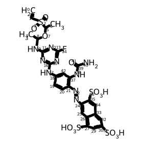 C=CS(=O)(=O)C(C)OC(C)Nc1nc(F)nc(Nc2ccc(N=Nc3cc4c(S(=O)(=O)O)cc(S(=O)(=O)O)cc4cc3S(=O)(=O)O)c(NC(N)=O)c2)n1